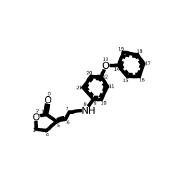 O=C1OCCC1=CCNc1ccc(Oc2ccccc2)cc1